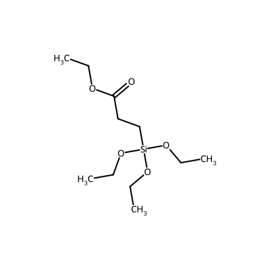 CCOC(=O)CC[Si](OCC)(OCC)OCC